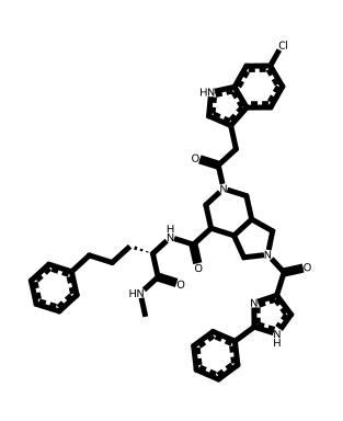 CNC(=O)[C@H](CCCc1ccccc1)NC(=O)C1CN(C(=O)Cc2c[nH]c3cc(Cl)ccc23)CC2CN(C(=O)c3c[nH]c(-c4ccccc4)n3)CC21